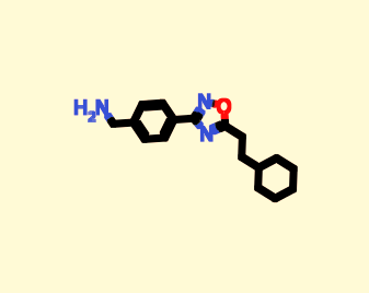 NCc1ccc(-c2noc(CCC3CCCCC3)n2)cc1